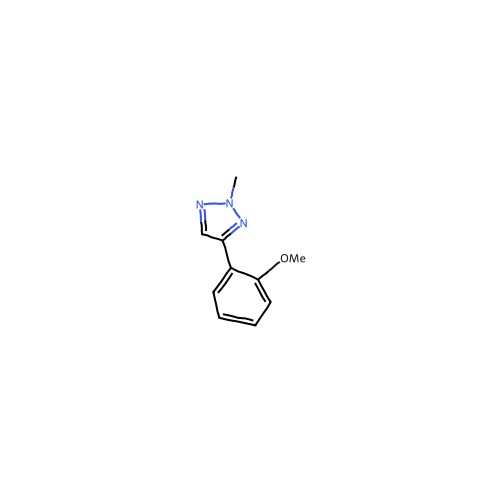 COc1ccccc1-c1cnn(C)n1